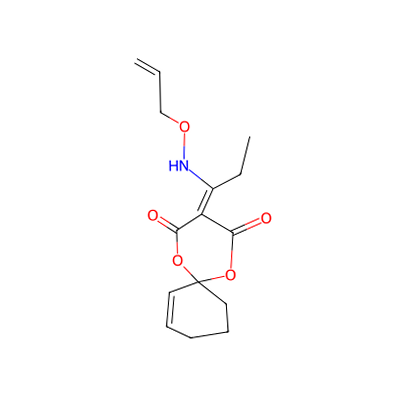 C=CCONC(CC)=C1C(=O)OC2(C=CCCC2)OC1=O